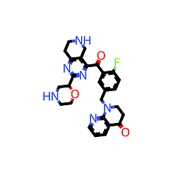 O=C1CCN(Cc2ccc(F)c(C(=O)c3nc(C4CNCCO4)nc4c3CNCC4)c2)c2ncccc21